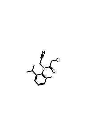 Cc1cccc(C(C)C)c1N(CC#N)C(=O)CCl